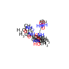 CCC(C)(NC(=O)CCC(C)(C#N)C(C)(CC)C(C)(CC(C)(CC(C)(CC)C(C)(C)C#N)C(=O)NCCCCCC(=O)NNC(=O)OC(C)(C)C)C(=O)NCC(C)O)C(C)COC(C)(C)CC(C)N